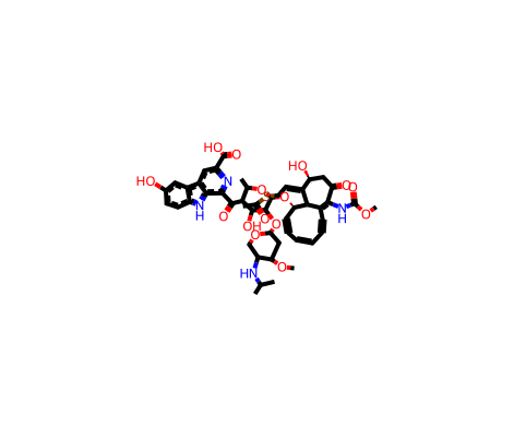 COC(=O)NC1=C2C#C/C=C\C#C[C@H](OC3OC(C)C(C(=O)c4nc(C(=O)O)cc5c4[nH]c4ccc(O)cc45)C(O)C3OC3CC(OC)C(NC(C)C)CO3)C2/C(=C\CSC(C)=O)[C@@H](O)CC1=O